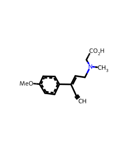 C#CC(=CCN(C)CC(=O)O)c1ccc(OC)cc1